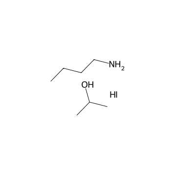 CC(C)O.CCCCN.I